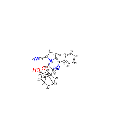 N#CC1CC2CC2N1C(=O)/C(=N\Cc1ccccc1)C12CC3CC(CC(O)(C3)C1)C2